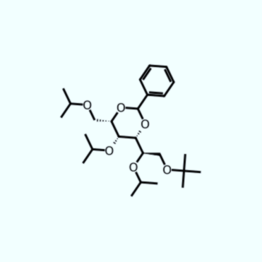 CC(C)OC[C@@H]1OC(c2ccccc2)O[C@H]([C@@H](COC(C)(C)C)OC(C)C)[C@@H]1OC(C)C